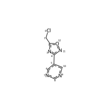 ClCc1nc(-c2cncnc2)no1